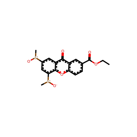 CCOC(=O)c1ccc2oc3c([S+](C)[O-])cc([S+](C)[O-])cc3c(=O)c2c1